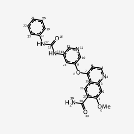 COc1cc2nccc(Oc3cncc(NC(=O)Nc4ccccc4)c3)c2cc1C(N)=O